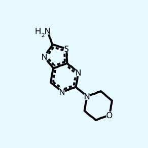 Nc1nc2cnc(N3CCOCC3)nc2s1